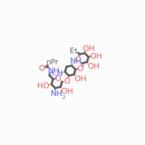 CCCC(=O)NCC1O[C@H](O[C@@H]2C(O)C(O[C@H]3OC(CC)[C@@H](O)C(O)C3O)[C@@H](N)C[C@H]2N)C(O)[C@@H](N)[C@@H]1O